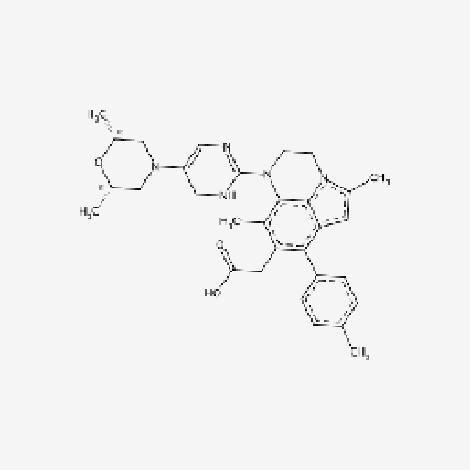 Cc1ccc(-c2c(CC(=O)O)c(C)c3c4c2cc(C)n4CCN3C2=NC=C(N3C[C@@H](C)O[C@@H](C)C3)CN2)cc1